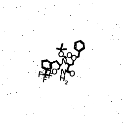 CC(C)(C)OC(=O)N(C(COCc1ccccc1)C(N)=O)[C@@H](CO)Cc1cccc(C(F)(F)F)c1